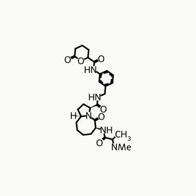 CNC(C)C(=O)N[C@H]1CCCC[C@H]2CC[C@@H](C(=O)NCc3cccc(NC(=O)C4CCCC(=O)O4)c3)N2C1=O